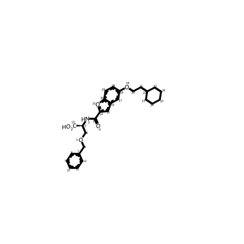 O=C(N[C@@H](COCc1ccccc1)C(=O)O)c1cc2cc(OCCC3CCCCC3)ccc2o1